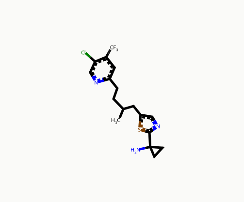 CC(CCc1cc(C(F)(F)F)c(Cl)cn1)Cc1cnc(C2(N)CC2)s1